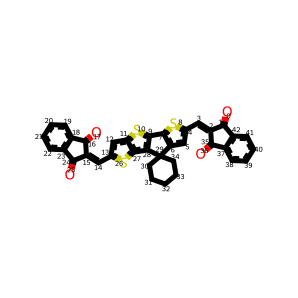 O=C1C(=Cc2cc3c(s2)-c2sc4cc(C=C5C(=O)c6ccccc6C5=O)sc4c2C32CCCCC2)C(=O)c2ccccc21